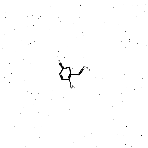 C=CC1=C(C)C=CC(=O)C1